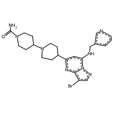 NC(=O)N1CCC(N2CCC(c3cc(NCc4cccnc4)n4ncc(Br)c4n3)CC2)CC1